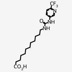 O=C(O)CCCCCCCCCCCNC(=O)Nc1ccc(C(F)(F)F)nc1